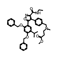 CCNC(=O)c1noc(-c2cc(C(C)C)c(OCc3ccccc3)cc2OCc2ccccc2)c1-c1ccc(CN(C)CCC(=O)OC)cc1